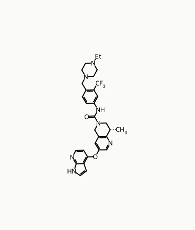 CCN1CCN(Cc2ccc(NC(=O)N3Cc4cc(Oc5ccnc6[nH]ccc56)cnc4[C@@H](C)C3)cc2C(F)(F)F)CC1